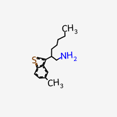 CCCCCC(CN)c1csc2ccc(C)cc12